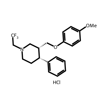 COc1ccc(OC[C@H]2CN(CC(F)(F)F)CC[C@H]2c2ccccc2)cc1.Cl